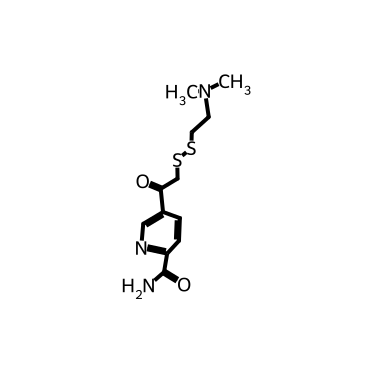 CN(C)CCSSCC(=O)c1ccc(C(N)=O)nc1